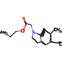 COCCOC(=O)Cn1ccc2cc(C)c(C)cc21